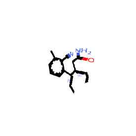 C/C=C(CC(N)=O)\C(=C/C)c1cccc(C)c1C#N